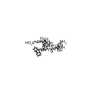 CC(C)[C@H](NC(=O)[C@H](CCC(=O)NC[C@H]1O[C@@H](CC(N)=O)[C@H](O)[C@@H]1O)NC(=O)OCC1c2ccccc2-c2ccccc21)C(=O)N[C@@H](C)C(=O)NCOCCC(=O)O